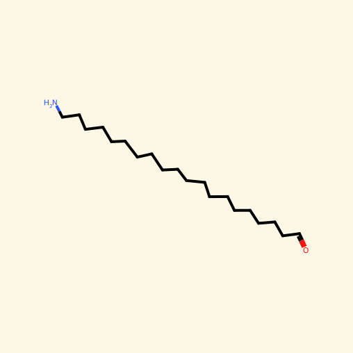 NCCCCCCCCCCCCCCCCCCCC=O